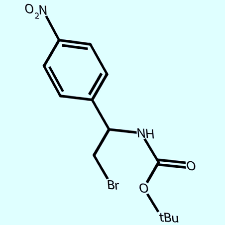 CC(C)(C)OC(=O)NC(CBr)c1ccc([N+](=O)[O-])cc1